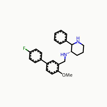 COc1ccc(-c2ccc(F)cc2)cc1CN[C@H]1CCCNC1c1ccccc1